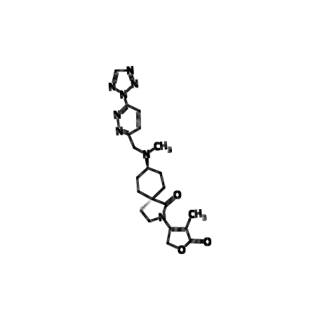 CC1=C(N2CC[C@]3(CC[C@H](N(C)Cc4ccc(-n5ncnn5)nn4)CC3)C2=O)COC1=O